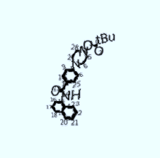 CC(C)(C)C(=O)ON1CCN(c2ccc(C(=O)Nc3cccc4ccccc34)cc2)CC1